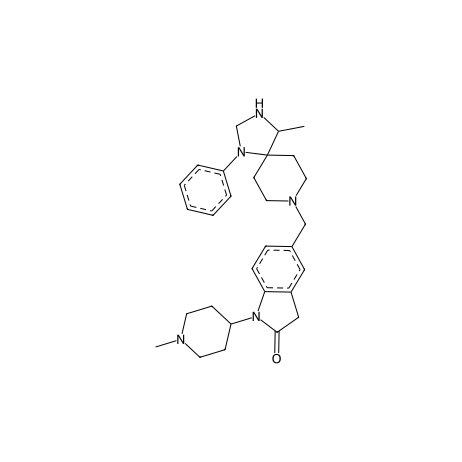 CC1NCN(c2ccccc2)C12CCN(Cc1ccc3c(c1)CC(=O)N3C1CCN(C)CC1)CC2